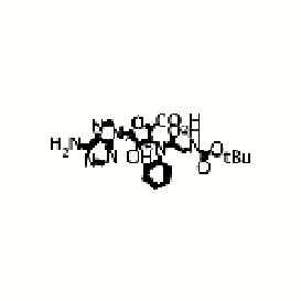 CC(C)(C)OC(=O)NCC(=O)N(c1ccccc1)[C@H]1[C@@H](O)[C@@H](n2cnc3c(N)ncnc32)O[C@@H]1C(=O)O